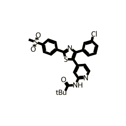 CC(C)(C)C(=O)Nc1cc(-c2sc(-c3ccc(S(C)(=O)=O)cc3)nc2-c2cccc(Cl)c2)ccn1